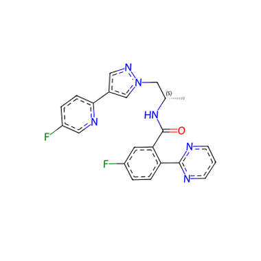 C[C@@H](Cn1cc(-c2ccc(F)cn2)cn1)NC(=O)c1cc(F)ccc1-c1ncccn1